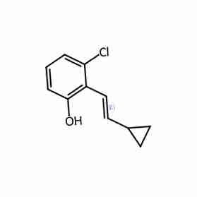 Oc1cccc(Cl)c1/C=C/C1CC1